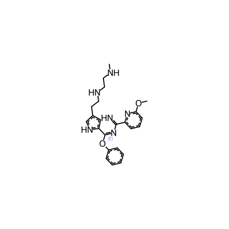 CNCCNCCc1c[nH]c(/C(=N\C(=N)c2cccc(OC)n2)Oc2ccccc2)c1